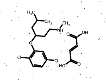 CNCCC(CC(C)C)Oc1cc(Cl)ccc1Cl.O=C(O)/C=C/C(=O)O